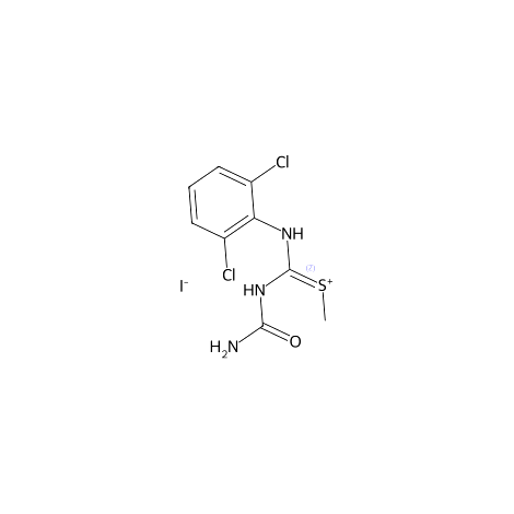 C/[S+]=C(\NC(N)=O)Nc1c(Cl)cccc1Cl.[I-]